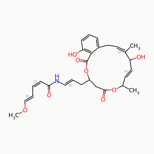 CO/C=C/C=C\C(=O)N/C=C/CC1CC(=O)OC(C)/C=C/C(O)/C(C)=C\Cc2cccc(O)c2C(=O)O1